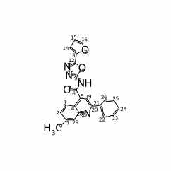 Cc1ccc2c(C(=O)Nc3nnc(-c4ccco4)o3)cc(-c3ccccc3)nc2c1